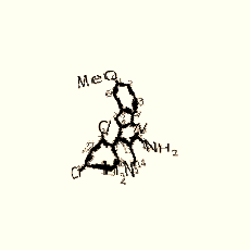 COc1ccc2c(c1)Cc1c-2nc(N)c(CN)c1-c1ccc(Cl)cc1Cl